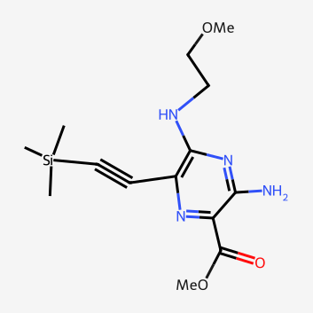 COCCNc1nc(N)c(C(=O)OC)nc1C#C[Si](C)(C)C